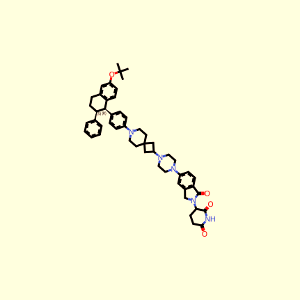 CC(C)(C)Oc1ccc2c(c1)CC[C@H](c1ccccc1)[C@@H]2c1ccc(N2CCC3(CC2)CC(N2CCN(c4ccc5c(c4)CN(C4CCC(=O)NC4=O)C5=O)CC2)C3)cc1